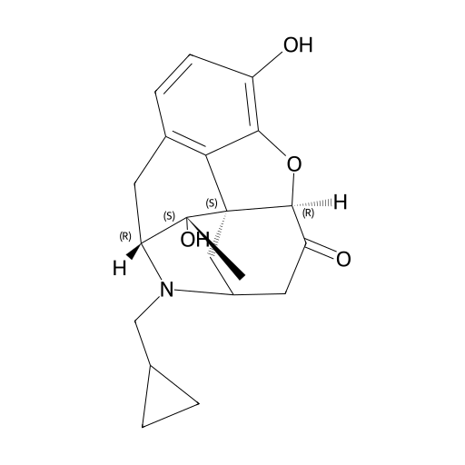 C[C@@]1(O)[C@H]2Cc3ccc(O)c4c3[C@]13CC(CC(=O)[C@@H]3O4)N2CC1CC1